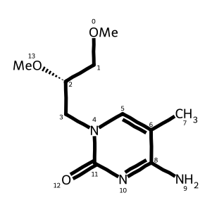 COC[C@H](Cn1cc(C)c(N)nc1=O)OC